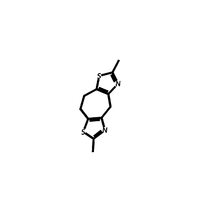 Cc1nc2c(s1)CCc1sc(C)nc1C2